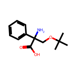 CC(C)(C)OCC(N)(C(=O)O)c1ccccc1